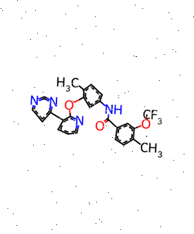 Cc1ccc(NC(=O)c2ccc(C)c(OC(F)(F)F)c2)cc1Oc1ncccc1-c1ccncn1